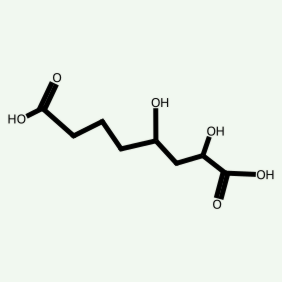 O=C(O)CCCC(O)CC(O)C(=O)O